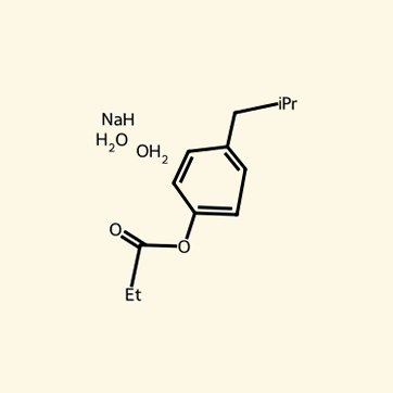 CCC(=O)Oc1ccc(CC(C)C)cc1.O.O.[NaH]